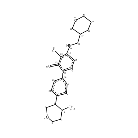 CN1CCOCC1c1ccc(-n2ncc(NCC3CCCOC3)c(Cl)c2=O)cc1